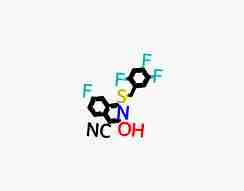 N#Cc1c(O)nc(SCc2cc(F)c(F)cc2F)c2cc(F)ccc12